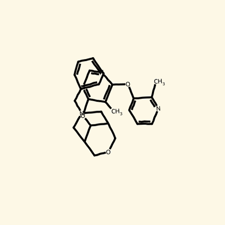 Cc1ncccc1Oc1ncnc(OC2C3COCC2CN(Cc2ccccc2)C3)c1C